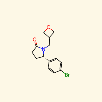 O=C1CC[C@@H](c2ccc(Br)cc2)N1CC1COC1